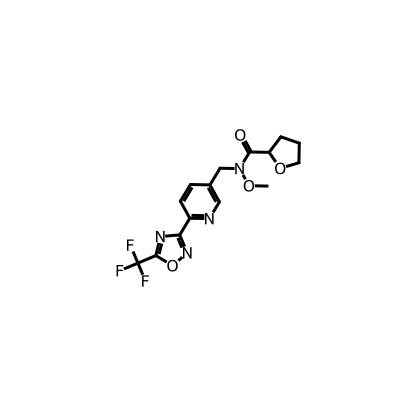 CON(Cc1ccc(-c2noc(C(F)(F)F)n2)nc1)C(=O)C1CCCO1